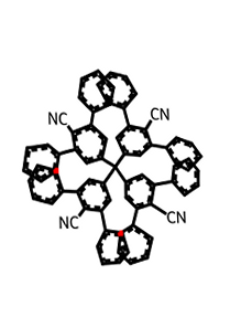 N#Cc1c(-c2ccccc2)cc(C(c2cc(-c3ccccc3)c(C#N)c(-c3ccccc3)c2)(c2cc(-c3ccccc3)c(C#N)c(-c3ccccc3)c2)c2cc(-c3ccccc3)c(C#N)c(-c3ccccc3)c2)cc1-c1ccccc1